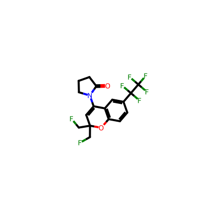 O=C1CCCN1C1=CC(CF)(CF)Oc2ccc(C(F)(F)C(F)(F)F)cc21